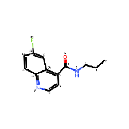 CCCNC(=O)c1ccnc2ccc(F)cc12